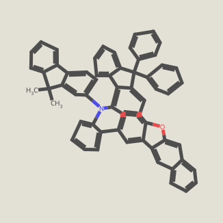 CC1(C)c2ccccc2-c2ccc(N(c3ccccc3-c3ccc4oc5cc6ccccc6cc5c4c3)c3cccc4c3-c3ccccc3C4(c3ccccc3)c3ccccc3)cc21